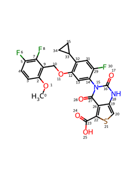 COc1ccc(F)c(F)c1COc1cc(-n2c(=O)[nH]c3csc(C(=O)O)c3c2=O)c(F)cc1C1CC1